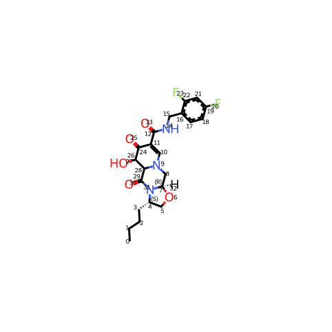 CCCC[C@H]1CO[C@@H]2CN3C=C(C(=O)NCc4ccc(F)cc4F)C(=O)C(O)C3C(=O)N12